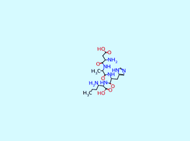 CCCC(N)C(NC(=O)C(Cc1cnc[nH]1)NC(=O)C(C)NC(=O)C(N)CC(=O)O)C(=O)O